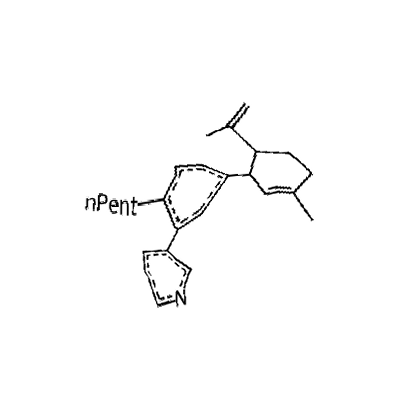 C=C(C)C1CCC(C)=CC1c1ccc(CCCCC)c(-c2cccnc2)c1